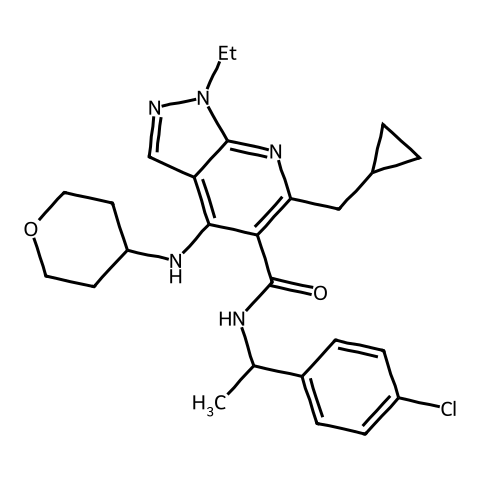 CCn1ncc2c(NC3CCOCC3)c(C(=O)NC(C)c3ccc(Cl)cc3)c(CC3CC3)nc21